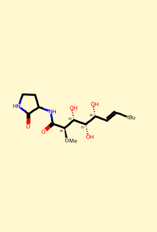 CO[C@@H](C(=O)NC1CCNC1=O)[C@H](O)[C@@H](O)[C@H](O)C=CC(C)(C)C